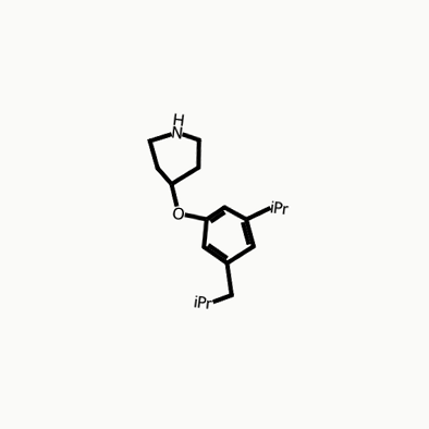 CC(C)Cc1cc(OC2CCNCC2)cc(C(C)C)c1